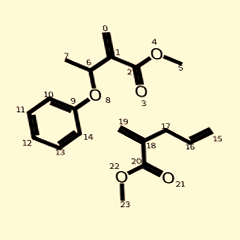 C=C(C(=O)OC)C(C)Oc1ccccc1.C=CCC(=C)C(=O)OC